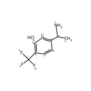 CC(N)c1ccc(C(F)(F)F)cn1.Cl